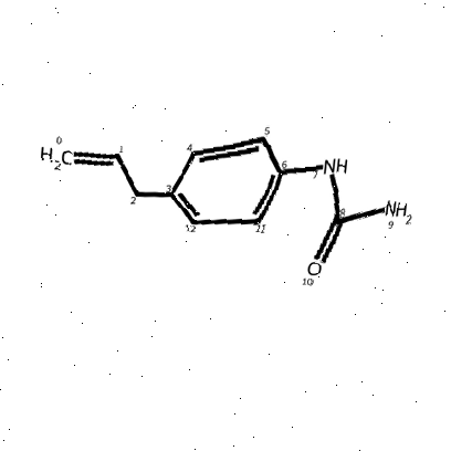 C=CCc1ccc(NC(N)=O)cc1